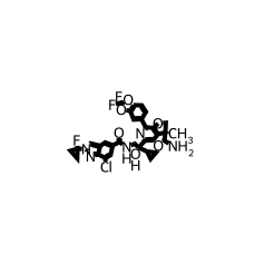 C[C@]1(C(N)=O)COc2c1cc(C(O)(CNC(=O)c1cc(Cl)c3nn(C4(F)CC4)cc3c1)C1CC1)nc2-c1ccc2c(c1)OC(F)(F)O2